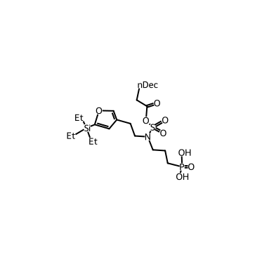 CCCCCCCCCCCC(=O)OS(=O)(=O)N(CCCP(=O)(O)O)CCc1coc([Si](CC)(CC)CC)c1